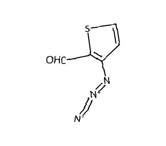 [N-]=[N+]=Nc1ccsc1C=O